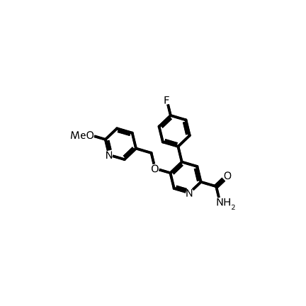 COc1ccc(COc2cnc(C(N)=O)cc2-c2ccc(F)cc2)cn1